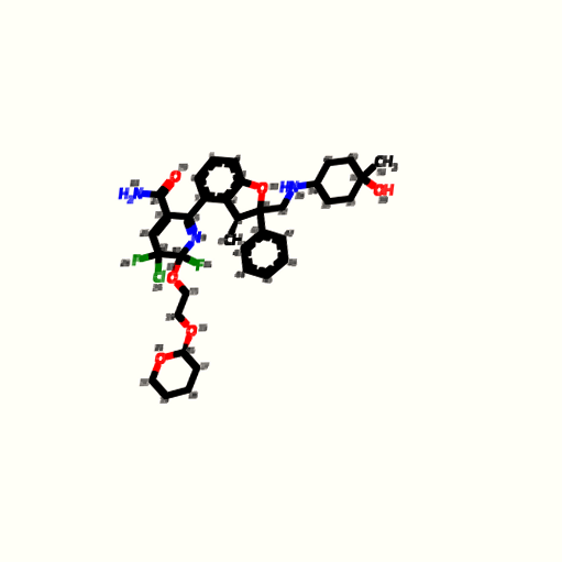 C[C@H]1c2c(cccc2C2=NC(F)(OCCO[C@H]3CCCCO3)C(F)(Cl)C=C2C(N)=O)OC1(CNC1CCC(C)(O)CC1)c1ccccc1